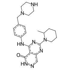 CC1CCCCN1c1nc(Nc2ccc(CN3CCNCC3)cc2)c2c(=O)[nH]ncc2n1